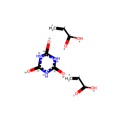 C=CC(=O)O.C=CC(=O)O.O=c1[nH]c(=O)[nH]c(=O)[nH]1